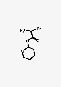 CC(C)C(C)C(=O)OC1CCCCO1